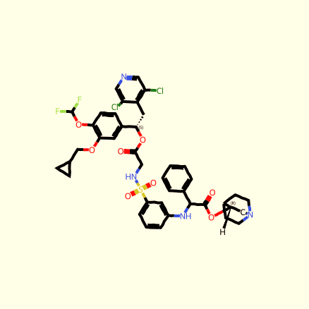 O=C(CNS(=O)(=O)c1cccc(NC(C(=O)O[C@H]2CN3CCC2CC3)c2ccccc2)c1)O[C@@H](Cc1c(Cl)cncc1Cl)c1ccc(OC(F)F)c(OCC2CC2)c1